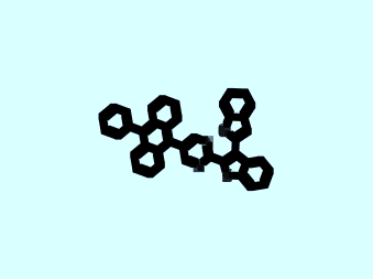 c1ccc(-c2c3ccccc3c(-c3cnc(-c4sc5ccccc5c4-c4cc5ccccc5o4)nc3)c3ccccc23)cc1